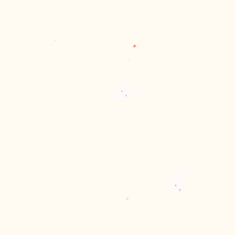 C[C@@H](N[S@+]([O-])C(C)(C)C)c1ccnc(C(F)(F)F)c1